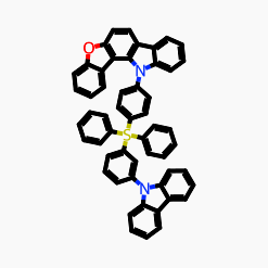 c1ccc(S(c2ccccc2)(c2ccc(-n3c4ccccc4c4ccc5oc6ccccc6c5c43)cc2)c2cccc(-n3c4ccccc4c4ccccc43)c2)cc1